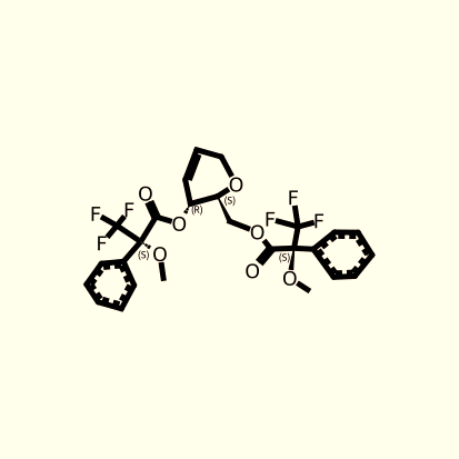 CO[C@](C(=O)OC[C@@H]1OCC=C[C@H]1OC(=O)[C@@](OC)(c1ccccc1)C(F)(F)F)(c1ccccc1)C(F)(F)F